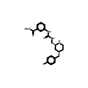 COC(=O)c1cccc(NC(=O)NC[C@@H]2C[C@H](Cc3ccc(F)cc3)CCN2)c1